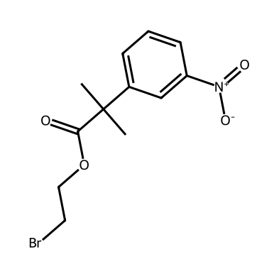 CC(C)(C(=O)OCCBr)c1cccc([N+](=O)[O-])c1